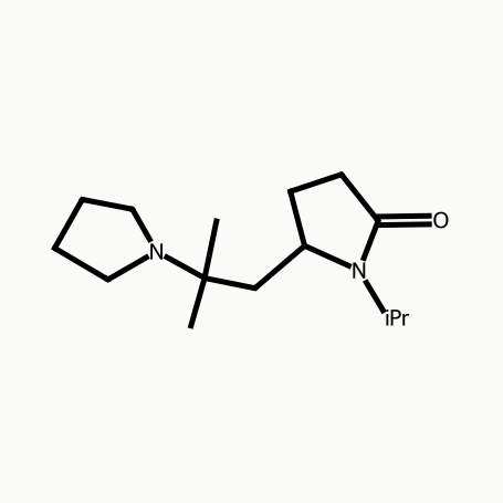 CC(C)N1C(=O)CCC1CC(C)(C)N1CCCC1